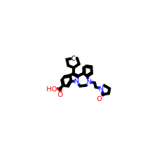 O=C(O)c1ccc2c(C3CCCCC3)c3n(c2c1)CCN(CCN1CCCC1=O)c1ccccc1-3